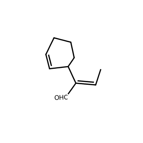 C/C=C(/C=O)C1C=CCCC1